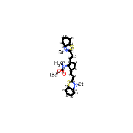 CCN1/C(=C/C=C2\CCC(/C=C/c3sc4ccccc4[n+]3CC)=C2N(C)C(=O)OC(C)(C)C)Sc2ccccc21